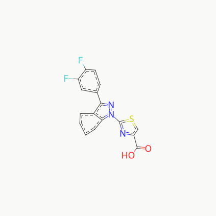 O=C(O)c1csc(-n2nc(-c3ccc(F)c(F)c3)c3ccccc32)n1